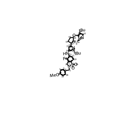 COc1ccc(CN2Cc3c(ccc(Nc4cc(C5CCC(Oc6c(C(C)(C)C)cnn6C)C5)nn4C(C)(C)C)c3F)S2(=O)=O)cc1